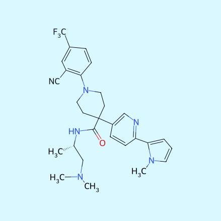 C[C@@H](CN(C)C)NC(=O)C1(c2ccc(-c3cccn3C)nc2)CCN(c2ccc(C(F)(F)F)cc2C#N)CC1